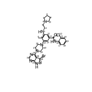 Cc1c(NCCN2CCCC2)cc(C(=O)Nc2ccccc2Cl)cc1N1CCN(c2ncnc3[nH]nc(Br)c23)CC1